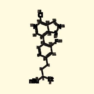 CCCCC(CC)CCc1ccc(-c2cnc(Cl)c3cnsc23)c(F)c1